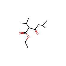 CCOC(=O)C(C(=O)CC(C)C)C(C)C